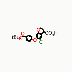 CC(C)(C)OC(=O)c1ccc(Oc2cc3c(cc2Cl)C(C(=O)O)CCO3)cc1